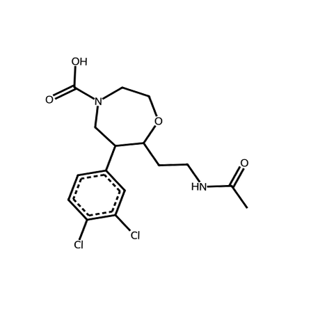 CC(=O)NCCC1OCCN(C(=O)O)CC1c1ccc(Cl)c(Cl)c1